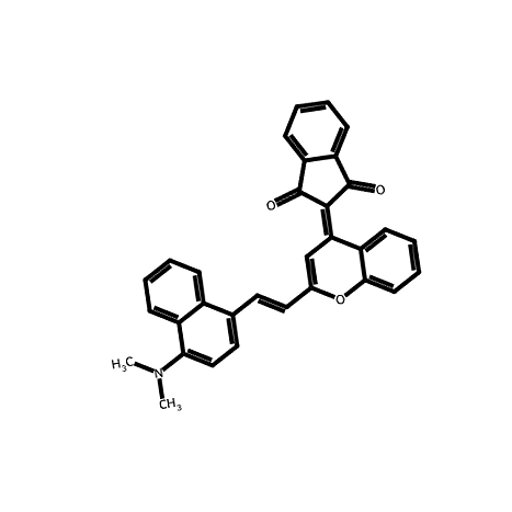 CN(C)c1ccc(C=CC2=CC(=C3C(=O)c4ccccc4C3=O)c3ccccc3O2)c2ccccc12